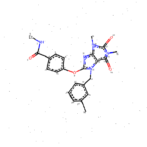 CCNC(=O)c1ccc(Oc2nc3c(c(=O)n(C)c(=O)n3C)n2Cc2cccc(C)c2)cc1